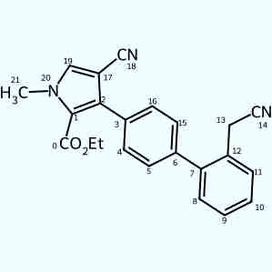 CCOC(=O)c1c(-c2ccc(-c3ccccc3CC#N)cc2)c(C#N)cn1C